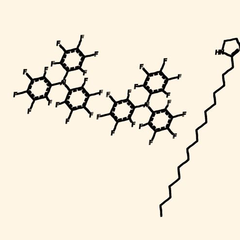 CCCCCCCCCCCCCCCCCC1=NCCN1.Fc1c(F)c(F)[c]([Al]([c]2c(F)c(F)c(F)c(F)c2F)[c]2c(F)c(F)c(F)c(F)c2F)c(F)c1F.Fc1c(F)c(F)[c]([Al]([c]2c(F)c(F)c(F)c(F)c2F)[c]2c(F)c(F)c(F)c(F)c2F)c(F)c1F